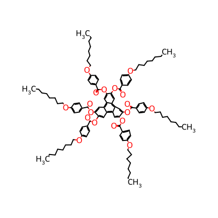 CCCCCCCCOc1ccc(C(=O)Oc2cc3c4cc(OC(=O)c5ccc(OCCCCCCCC)cc5)c(OC(=O)c5ccc(OCCCCCCCC)cc5)cc4c4cc(OC(=O)c5ccc(OCCCCCCCC)cc5)c(OC(=O)c5ccc(OCCCCCCCC)cc5)cc4c3cc2OC(=O)c2ccc(OCCCCCCCC)cc2)cc1